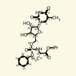 Cc1cn([C@H]2O[C@@H](COP(=O)(N[C@@H](C)C(=O)OC(C)C)Oc3ccccc3)C(O)[C@H]2O)c(=O)[nH]c1=O